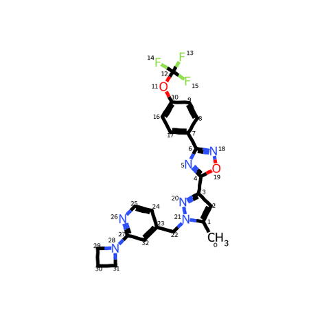 Cc1cc(-c2nc(-c3ccc(OC(F)(F)F)cc3)no2)nn1Cc1ccnc(N2CCC2)c1